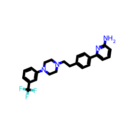 Nc1cccc(-c2ccc(CCN3CCN(c4cccc(C(F)(F)F)c4)CC3)cc2)n1